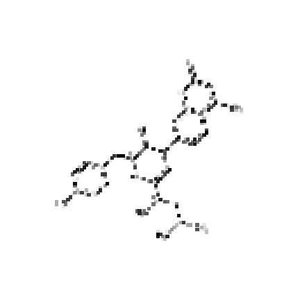 Cc1cc(=O)oc2cc(NC(=O)[C@H](Cc3ccc(O)cc3)NC(=O)[C@@H](N)CC(C)C)ccc12